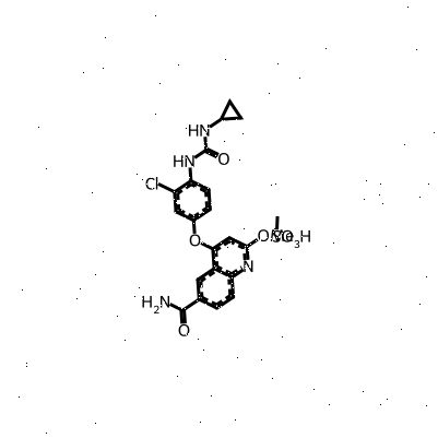 COc1cc(Oc2ccc(NC(=O)NC3CC3)c(Cl)c2)c2cc(C(N)=O)ccc2n1.CS(=O)(=O)O